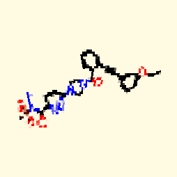 CCOc1cccc(C#Cc2ccccc2C(=O)N2CCN(c3ccc(C(=O)NS(C)(=O)=O)nn3)CC2)c1